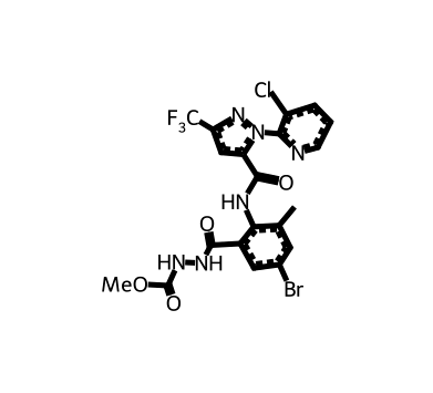 COC(=O)NNC(=O)c1cc(Br)cc(C)c1NC(=O)c1cc(C(F)(F)F)nn1-c1ncccc1Cl